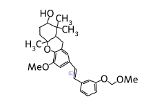 COCOc1cccc(/C=C/c2cc3c(c(OC)c2)OC2(C)CCC(O)C(C)(C)C2C3)c1